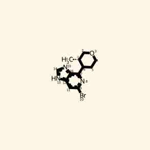 C[C@@H]1COCCC1c1nc(Br)cc2[nH]cnc12